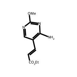 CCOC(=O)C=Cc1cnc(OC)nc1N